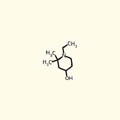 CCN1CCC(O)CC1(C)C